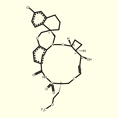 O=C1NS(=O)(=O)[C@@H](CCOC(F)(F)F)CC/C=C/[C@H](O)[C@@H]2CC[C@H]2CN2C[C@@]3(CCCc4cc(Cl)ccc43)COc3ccc1cc32